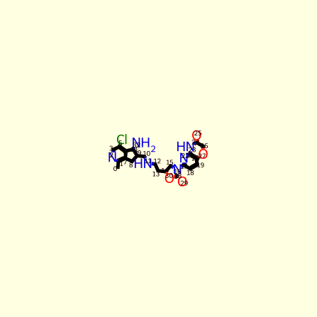 Cc1ncc(Cl)c2c1CC(CNCCC1CN(c3ccc4c(n3)NC(=O)CO4)C(=O)O1)C2N